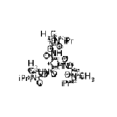 CC(C)CN1C(=O)[C@H](ONC(=O)c2cc(C(=O)NO[C@@H]3CC(C)N(CC(C)C)C3=O)cc(C(=O)NO[C@@H]3CC(C)N(CC(C)C)C3=O)c2)CC1C